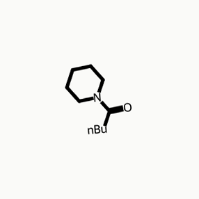 CCCCC(=O)N1CCCCC1